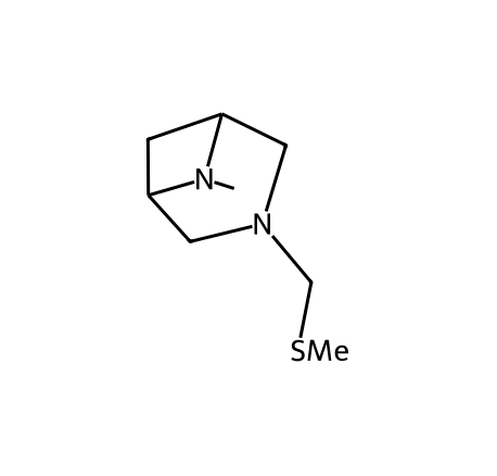 CSCN1CC2CC(C1)N2C